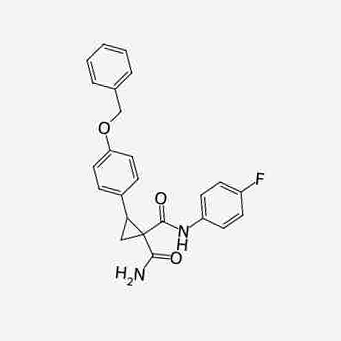 NC(=O)C1(C(=O)Nc2ccc(F)cc2)CC1c1ccc(OCc2ccccc2)cc1